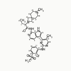 CCC(C(=O)Nc1nccc2c(-c3nc(Nc4cccc(S(C)(=O)=O)c4F)ncc3C)c[nH]c12)N1CC2(CCN(C)CC2)C1